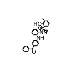 Cc1cccc(S(=O)(=O)Nc2ccccc2Nc2ccc(C(=O)c3ccccc3)cc2)c1O